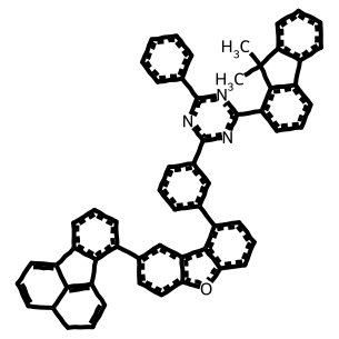 CC1(C)c2ccccc2-c2cccc(-c3nc(-c4ccccc4)nc(-c4cccc(-c5cccc6oc7ccc(-c8cccc9c8C8=C%10C9=CC=CC%10CC=C8)cc7c56)c4)n3)c21